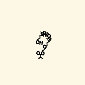 C=C(C)C(=O)OCCOCCC[Si](C)(C)O[Si](C)(C)O[Si](C)(C)CCCO